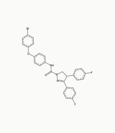 O=C(Nc1ccc(Oc2ccc(Br)cc2)cc1)N1CC(c2ccc(F)cc2)C(c2ccc(F)cc2)=N1